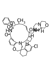 CO[C@]1(CN2CCN3CCOC[C@@H]3C2)/C=C/C[C@H](C)[C@H](Cc2ccccc2)S(=O)(=O)NC(=O)c2ccc3c(c2)N(C[C@@H]2CC[C@H]21)C[C@@]1(CCCc2cc(Cl)ccc21)CO3